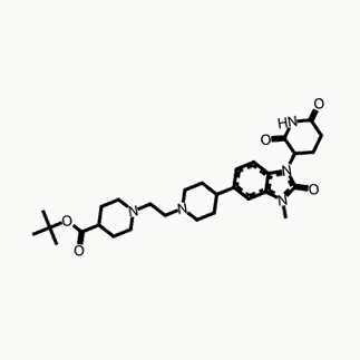 Cn1c(=O)n(C2CCC(=O)NC2=O)c2ccc(C3CCN(CCN4CCC(C(=O)OC(C)(C)C)CC4)CC3)cc21